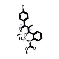 CO/N=C(\C(C)=C(/ON)c1ccccc1N(C)C(=O)OC)c1ccc(F)cc1